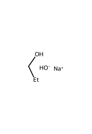 CCCO.[Na+].[OH-]